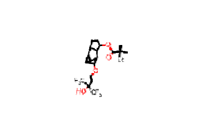 CCC(C)(C)C(=O)OC1CCC2C3CC(OCCC(O)(C(F)(F)F)C(F)(F)F)C(C3)C12